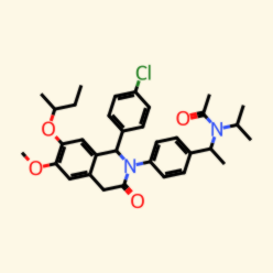 CCC(C)Oc1cc2c(cc1OC)CC(=O)N(c1ccc(C(C)N(C(C)=O)C(C)C)cc1)C2c1ccc(Cl)cc1